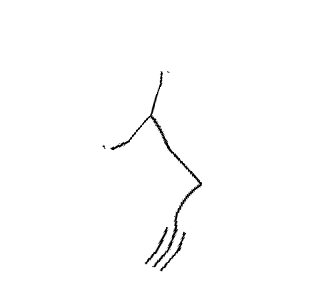 C#CCC([CH2])[CH2]